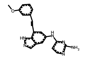 COc1cccc(/C=C/c2cc(Nc3ccnc(N)n3)cc3cn[nH]c23)c1